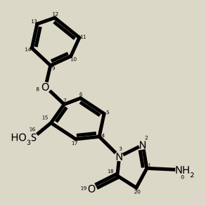 NC1=NN(c2ccc(Oc3ccccc3)c(S(=O)(=O)O)c2)C(=O)C1